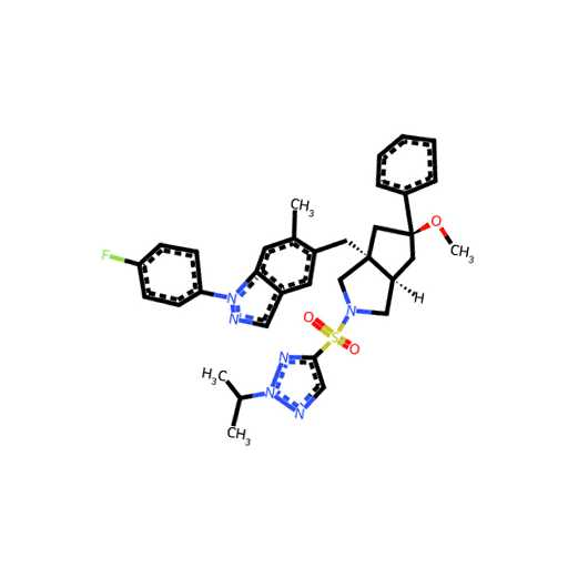 CO[C@@]1(c2ccccc2)C[C@H]2CN(S(=O)(=O)c3cnn(C(C)C)n3)C[C@@]2(Cc2cc3cnn(-c4ccc(F)cc4)c3cc2C)C1